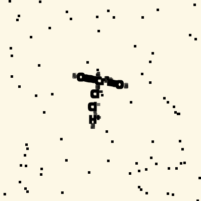 [Cl-].[Cl-].[H+].[O]=[Cr+2]=[O]